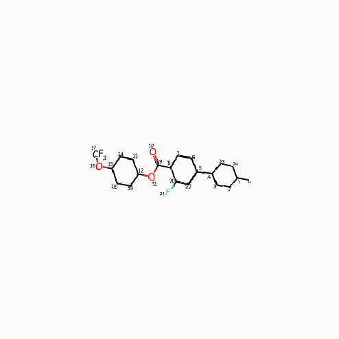 CC1CCC(C2CCC(C(=O)OC3CCC(OC(F)(F)F)CC3)C(F)C2)CC1